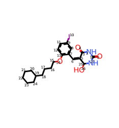 O=C1NC(=O)/C(=C\c2cc(I)ccc2OCCCCC2CCCCC2)C(O)N1